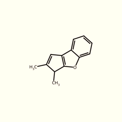 CC1=Cc2c(oc3ccccc23)C1C